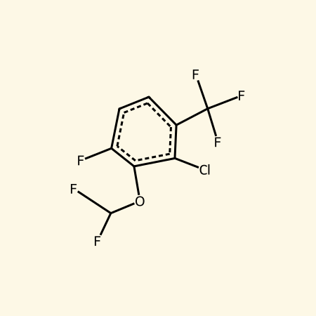 Fc1ccc(C(F)(F)F)c(Cl)c1OC(F)F